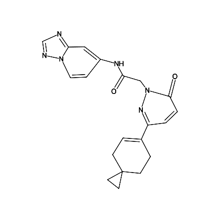 O=C(Cn1nc(C2=CCC3(CC2)CC3)ccc1=O)Nc1ccn2ncnc2c1